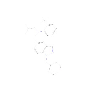 CC(C)CN(Sc1ccc2c(cnn2CC2CCOCC2)c1)c1ccccc1C(F)(F)F